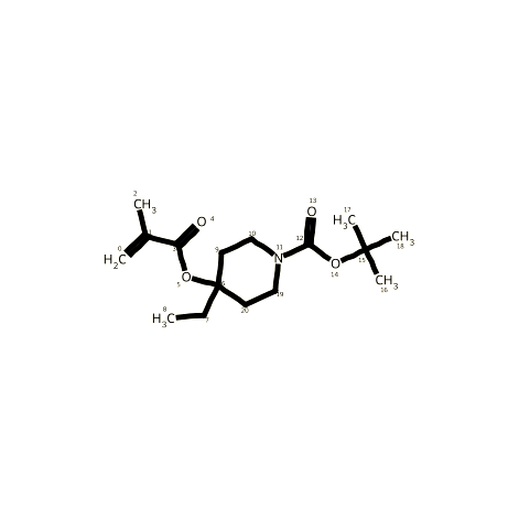 C=C(C)C(=O)OC1(CC)CCN(C(=O)OC(C)(C)C)CC1